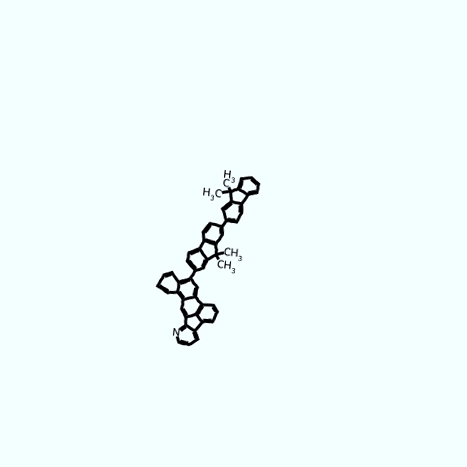 CC1(C)c2ccccc2-c2ccc(-c3ccc4c(c3)C(C)(C)c3cc(-c5cc6c7cccc8c7c(cc6c6ccccc56)-c5ncccc5-8)ccc3-4)cc21